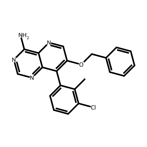 Cc1c(Cl)cccc1-c1c(OCc2ccccc2)cnc2c(N)ncnc12